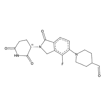 O=CC1CCN(c2ccc3c(c2F)CN([C@H]2CCC(=O)NC2=O)C3=O)CC1